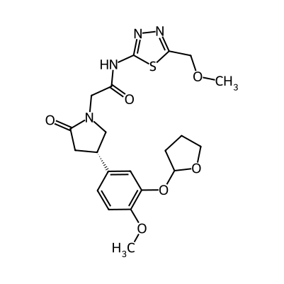 COCc1nnc(NC(=O)CN2C[C@H](c3ccc(OC)c(OC4CCCO4)c3)CC2=O)s1